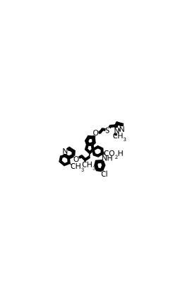 C[C@@H](COc1ccnc2c1[C@H](C)CCC2)C[C@H]1Cc2ccc(OCCSCc3ccnn3C)cc2C12CCC(Nc1cccc(Cl)c1)(C(=O)O)CC2